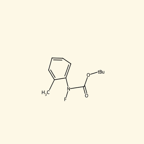 Cc1ccccc1N(F)C(=O)OC(C)(C)C